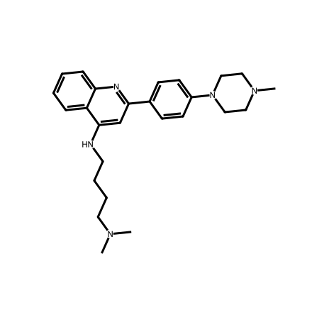 CN(C)CCCCNc1cc(-c2ccc(N3CCN(C)CC3)cc2)nc2ccccc12